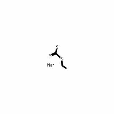 CCSC(=S)[S-].[Na+]